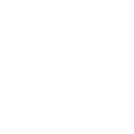 CS(=O)OOS(=O)OS(=O)O